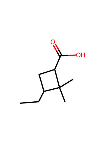 CCC1CC(C(=O)O)C1(C)C